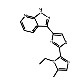 CCn1c(C)cnc1-c1nc(-c2n[nH]c3ncccc23)cs1